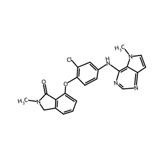 CN1Cc2cccc(Oc3ccc(Nc4ncnc5ccn(C)c45)cc3Cl)c2C1=O